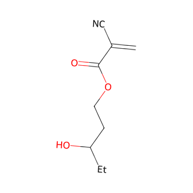 [CH2]CC(O)CCOC(=O)C(=C)C#N